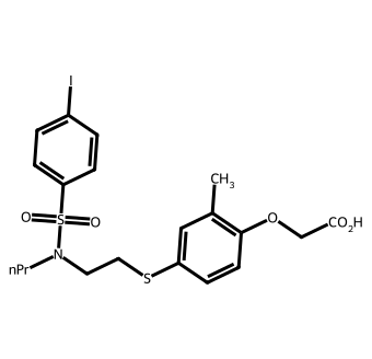 CCCN(CCSc1ccc(OCC(=O)O)c(C)c1)S(=O)(=O)c1ccc(I)cc1